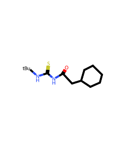 CC(C)(C)NC(=S)NC(=O)CC1CCCCC1